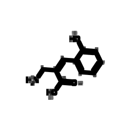 NC/C(=C/c1ccccc1O)C(=O)O